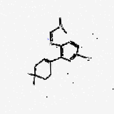 CN(C)/C=N\c1ccc(Br)cc1C1=CCC(C)(C)CC1